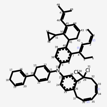 C/C=C\C=C(/CC)c1cc(N(C2=CCC(C3=CCCC=C3)C=C2)c2ccc3c(c2)C(Cl)(Cl)C/C=C\C=C/C3)ccc1C1CC=CC(C=C(C)C)=C1C1CC1